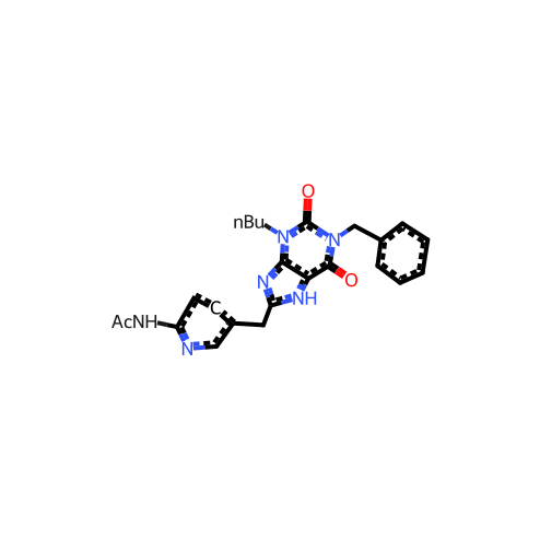 CCCCn1c(=O)n(Cc2ccccc2)c(=O)c2[nH]c(Cc3ccc(NC(C)=O)nc3)nc21